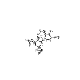 N#Cc1ccc2c(c1F)SCC[C@@]21CN2C=C(C(F)(F)F)C=C(OC(F)F)C2=N1